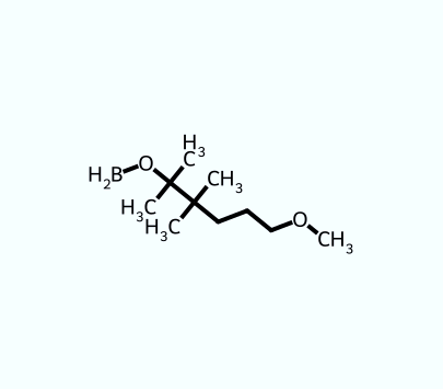 BOC(C)(C)C(C)(C)CCCOC